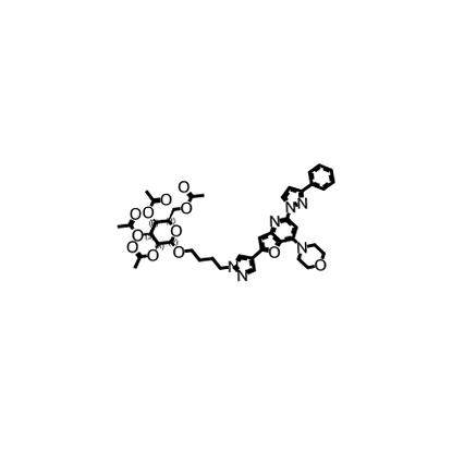 CC(=O)OC[C@H]1O[C@@H](OCCCCn2cc(-c3cc4nc(-n5ccc(-c6ccccc6)n5)cc(N5CCOCC5)c4o3)cn2)[C@H](OC(C)=O)[C@@H](OC(C)=O)[C@@H]1OC(C)=O